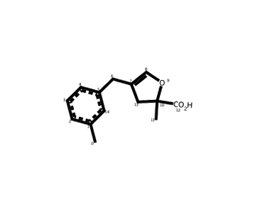 Cc1cccc(CC2=COC(C)(C(=O)O)C2)c1